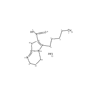 CCCCCC1=C(C(=O)O)SC2=NCCCN21.Cl